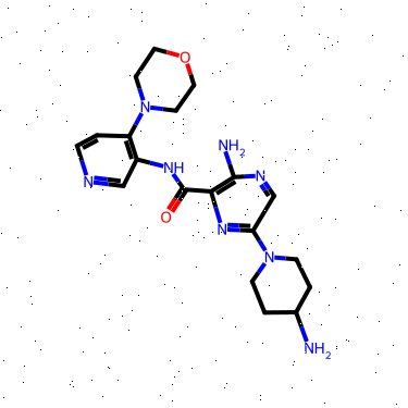 Nc1ncc(N2CCC(N)CC2)nc1C(=O)Nc1cnccc1N1CCOCC1